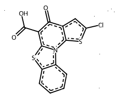 O=C(O)c1c(=O)c2cc(Cl)sc2n2c1sc1ccccc12